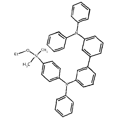 CCO[Si](C)(C)c1ccc(N(c2ccccc2)c2cccc(-c3cccc(N(c4ccccc4)c4ccccc4)c3)c2)cc1